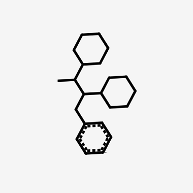 CC(C1CCCCC1)C(Cc1cc[c]cc1)C1CCCCC1